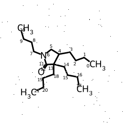 CCCCC1CN(CCCC)C(=O)C1(CCCC)CCCC